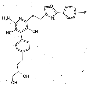 N#Cc1c(N)nc(SCc2coc(-c3ccc(F)cc3)n2)c(C#N)c1-c1ccc(CC[C@H](O)CO)cc1